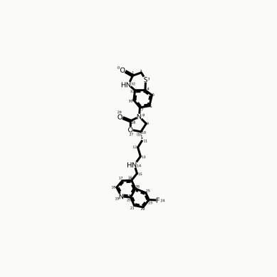 O=C1CSc2ccc(N3C[C@H](CCCNCc4ccnc5ccc(F)cc45)OC3=O)cc2N1